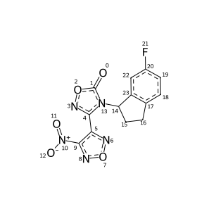 O=c1onc(-c2nonc2[N+](=O)[O-])n1C1CCc2ccc(F)cc21